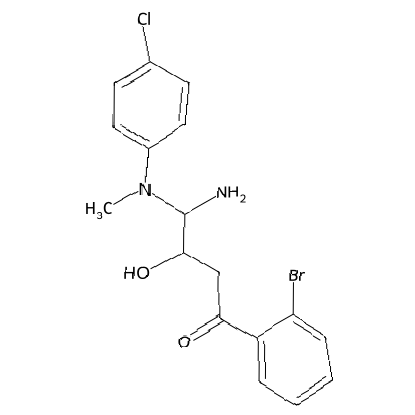 CN(c1ccc(Cl)cc1)C(N)C(O)CC(=O)c1ccccc1Br